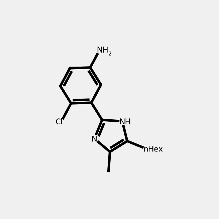 CCCCCCc1[nH]c(-c2cc(N)ccc2Cl)nc1C